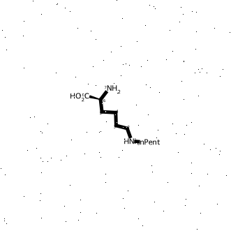 CCCCCNCCCC[C@H](N)C(=O)O